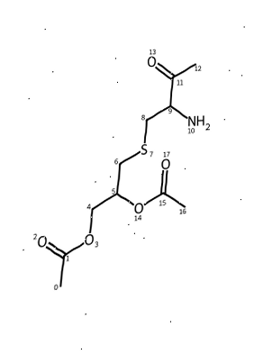 CC(=O)OCC(CSCC(N)C(C)=O)OC(C)=O